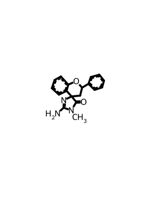 CN1C(=O)C2(CC(c3ccccc3)Oc3ccccc32)N=C1N